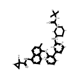 Cc1ccc2c(NC(=O)C3(F)CC3)cccc2c1Oc1ncccc1-c1ccnc(NC2CCCN(C(=O)OC(C)(C)C)C2)n1